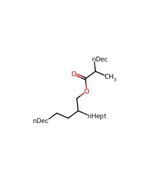 CCCCCCCCCCCCC(CCCCCCC)COC(=O)C(C)CCCCCCCCCC